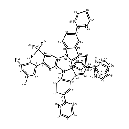 Fc1cc(F)cc(-c2cc(-n3c4ccc(-c5ncccn5)cc4c4cc(-c5ncccn5)ccc43)c(-n3c4ccc(-c5ncccn5)cc4c4cc(-c5ncccn5)ccc43)cc2C(F)(F)F)c1